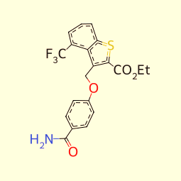 CCOC(=O)c1sc2cccc(C(F)(F)F)c2c1COc1ccc(C(N)=O)cc1